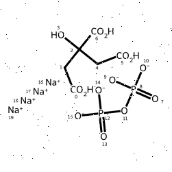 O=C(O)CC(O)(CC(=O)O)C(=O)O.O=P([O-])([O-])OP(=O)([O-])[O-].[Na+].[Na+].[Na+].[Na+]